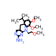 COCCNc1nc(N)ncc1Cc1cc(OC)c(OC)cc1C(C)C